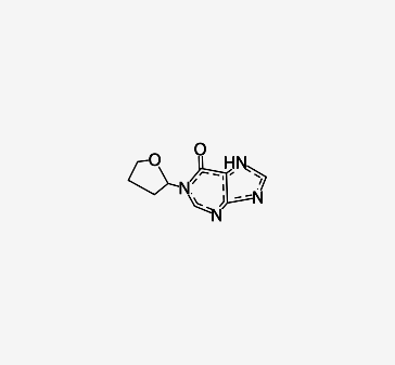 O=c1c2[nH]cnc2ncn1C1CCCO1